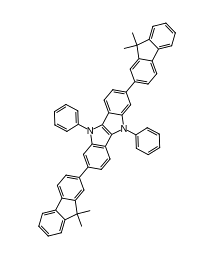 CC1(C)c2ccccc2-c2ccc(-c3ccc4c(c3)n(-c3ccccc3)c3c5ccc(-c6ccc7c(c6)C(C)(C)c6ccccc6-7)cc5n(-c5ccccc5)c43)cc21